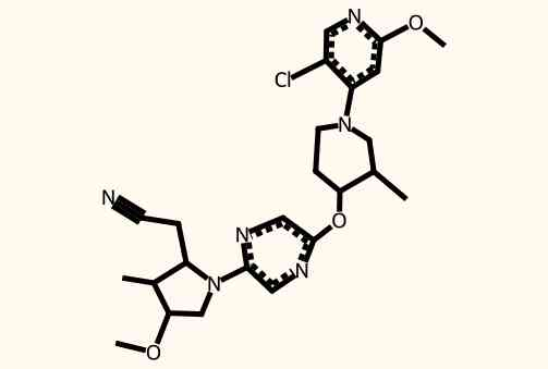 COc1cc(N2CCC(Oc3cnc(N4CC(OC)C(C)C4CC#N)cn3)C(C)C2)c(Cl)cn1